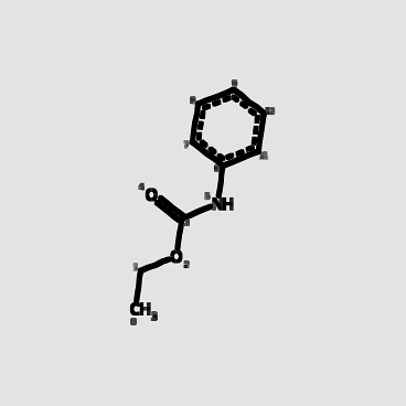 CCOC(=O)Nc1ccccc1